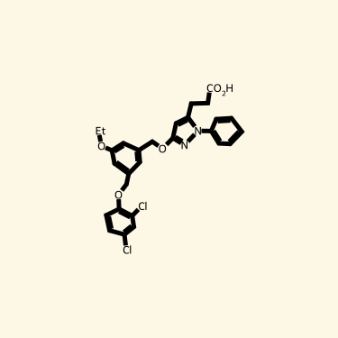 CCOc1cc(COc2cc(CCC(=O)O)n(-c3ccccc3)n2)cc(COc2ccc(Cl)cc2Cl)c1